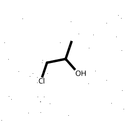 C[C](O)CCl